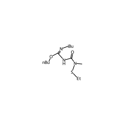 CCCCOC(=NC(C)CC)NC(=O)N(C)SCC